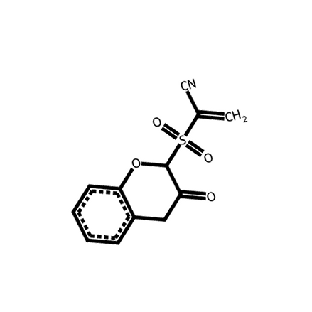 C=C(C#N)S(=O)(=O)C1Oc2ccccc2CC1=O